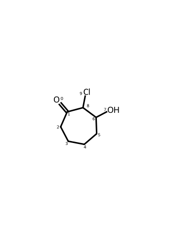 O=C1CCCCC(O)C1Cl